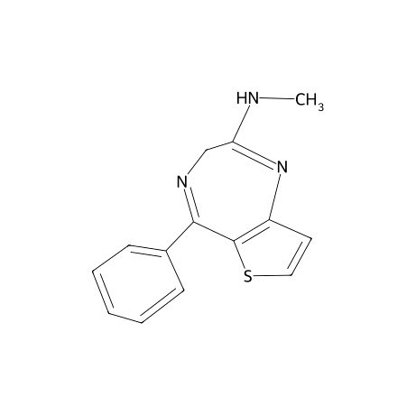 CNC1=Nc2ccsc2C(c2ccccc2)=NC1